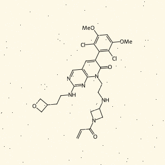 C=CC(=O)N1CC(NCCn2c(=O)c(-c3c(Cl)c(OC)cc(OC)c3Cl)cc3cnc(NCCC4COC4)nc32)C1